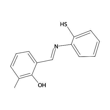 Cc1cccc(/C=N/c2ccccc2S)c1O